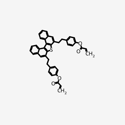 C=CC(=O)Oc1ccc(CCc2cc3ccccc3c3c2sc2c(CCc4ccc(OC(=O)C=C)cc4)cc4ccccc4c23)cc1